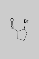 O=NC1CCCC1Br